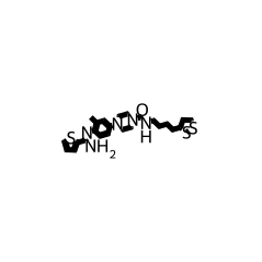 Cc1cc(N2CCN(C(=O)NCCCCC3CCSS3)CC2)ccc1/N=C(\N)c1cccs1